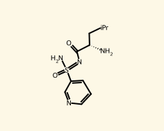 CC(C)C[C@H](N)C(=O)N=S(N)(=O)c1cccnc1